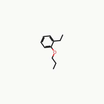 CCCOc1cc[c]cc1CC